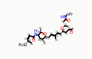 CCCNC(=O)C[C@@H]1C[C@@]2(CO2)C[C@@H](/C=C/C(C)=C/C[C@@H]2O[C@H](C)[C@H](NC(=O)/C=C\[C@H](C)OC(C)=O)C[C@@H]2C)O1